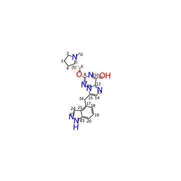 CN1CCC[C@H]1COc1nc(O)c2ncc(Cc3cccc4[nH]ncc34)n2n1